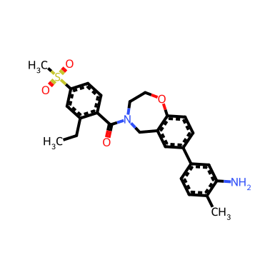 CCc1cc(S(C)(=O)=O)ccc1C(=O)N1CCOc2ccc(-c3ccc(C)c(N)c3)cc2C1